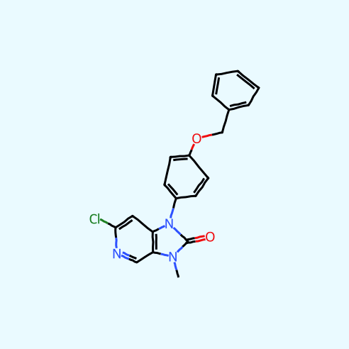 Cn1c(=O)n(-c2ccc(OCc3ccccc3)cc2)c2cc(Cl)ncc21